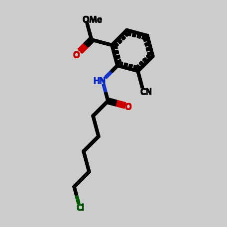 COC(=O)c1cccc(C#N)c1NC(=O)CCCCCCl